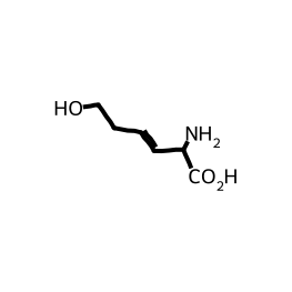 NC(/C=C/CCO)C(=O)O